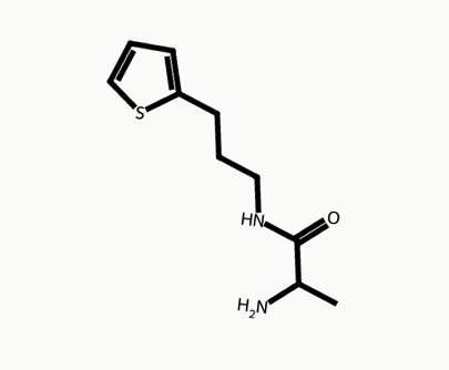 CC(N)C(=O)NCCCc1cccs1